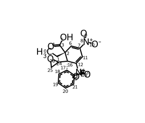 CC[C@@]1(C(=O)O)C=C([N+](=O)[O-])C=C([N+](=O)[O-])[C@@]1(c1ccccc1F)C1CO1